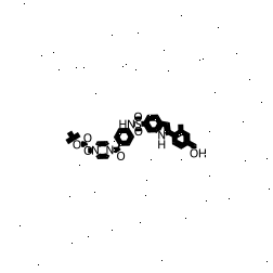 Cc1cc(CO)ccc1-c1cc2ccc(S(=O)(=O)N[C@H]3CC[C@H](C(=O)N4CCN(OC(=O)OC(C)(C)C)CC4)CC3)cc2[nH]1